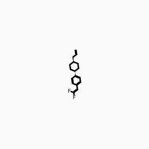 C=CC[C@H]1CC[C@H](c2ccc(C=C(F)F)cc2)CC1